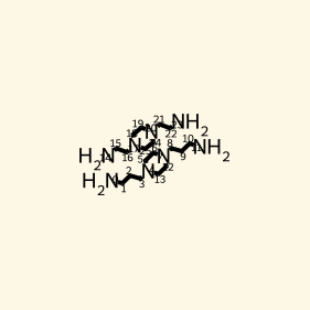 NCCCN1CCN(CCCN)CC1.NCCN1CCN(CCN)CC1